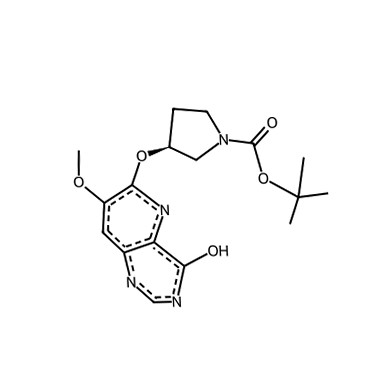 COc1cc2ncnc(O)c2nc1O[C@H]1CCN(C(=O)OC(C)(C)C)C1